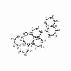 c1ccc2c(-c3ccc4oc5cccc6cccc(c7cccc3c47)c65)cccc2c1